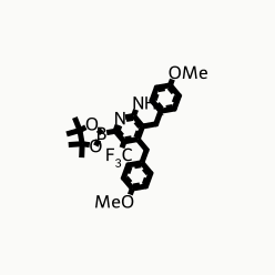 COc1ccc(Cc2c(N)nc(B3OC(C)(C)C(C)(C)O3)c(C(F)(F)F)c2Cc2ccc(OC)cc2)cc1